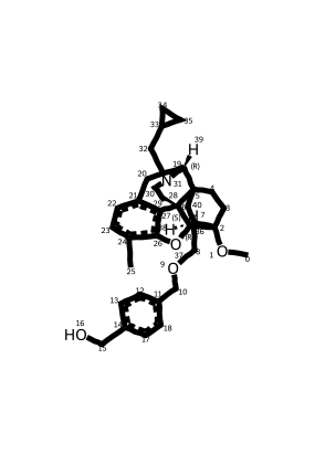 COC12CCC3(C[C@@H]1COCc1ccc(CO)cc1)[C@H]1Cc4ccc(C)c5c4[C@@]3(CCN1CC1CC1)[C@H]2O5